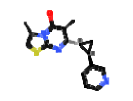 Cc1c([C@@H]2C[C@H]2c2cccnc2)nc2scc(C)n2c1=O